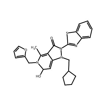 CC1=c2c(n(CC3CCCC3)n(-c3nc4ccccc4s3)c2=O)=CC(O)N1Cc1ccco1